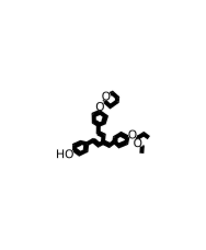 CCOC(CC)Oc1ccc(C=C(C=Cc2ccc(O)cc2)C=Cc2ccc(OC3CCCCO3)cc2)cc1